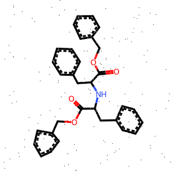 O=C(OCc1ccccc1)C(Cc1ccccc1)NC(Cc1ccccc1)C(=O)OCc1ccccc1